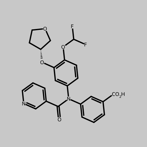 O=C(O)c1cccc(N(C(=O)c2cccnc2)c2ccc(OC(F)F)c(O[C@@H]3CCOC3)c2)c1